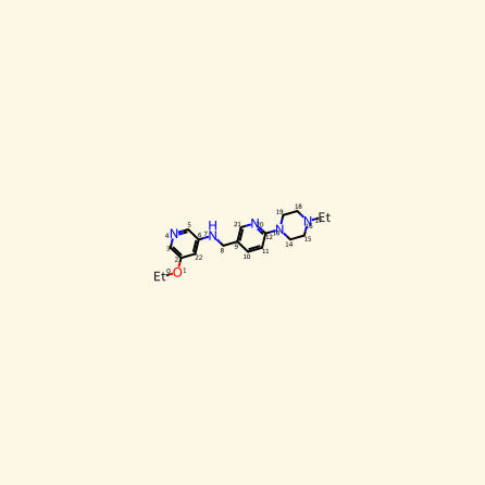 CCOc1cncc(NCc2ccc(N3CCN(CC)CC3)nc2)c1